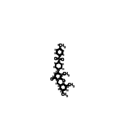 Cc1ccc(S(=O)(=O)N2CCN(c3cc(=O)n(Cc4cc(C)cc(C)c4)c(=O)n3C)CC2)cc1